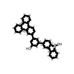 Oc1cc(-c2ccc3c4ccccc4c4ccccc4c3c2)cc(-c2ccc3c(c2)c2ccccc2n3O)c1